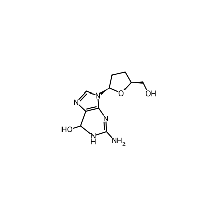 NC1=Nc2c(ncn2[C@H]2CC[C@@H](CO)O2)C(O)N1